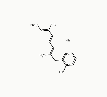 Br.CCOC(=O)C=C(C)C=CC=C(C)Cc1ccccc1P